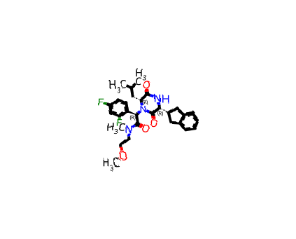 COCCN(C)C(=O)[C@@H](c1ccc(F)cc1F)N1C(=O)[C@@H](C2Cc3ccccc3C2)NC(=O)[C@H]1CC(C)C